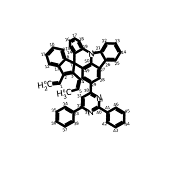 C=CC1=C(/C=C\C)C2(c3ccccc31)c1ccccc1-n1c3ccccc3c3cc(-c4cc(-c5ccccc5)nc(-c5ccccc5)n4)cc2c31